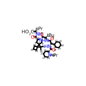 CCC[C@@H](NC(=O)[C@@H]1CC2(CN1C(=O)[C@H](NC(=O)[C@@H](NC(=O)[C@H]1CCCCN1C(C)C)C1CCCCC1)C(C)(C)C)C(C)(C)C21CCC1)C(=O)O